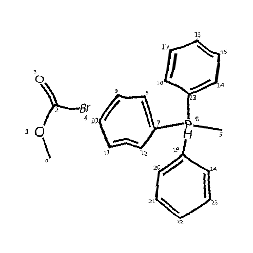 COC(=O)Br.C[PH](c1ccccc1)(c1ccccc1)c1ccccc1